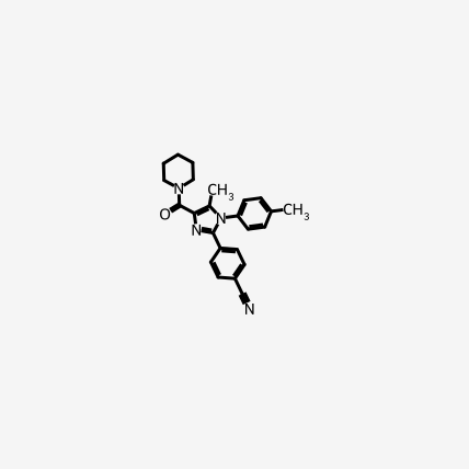 Cc1ccc(-n2c(-c3ccc(C#N)cc3)nc(C(=O)N3CCCCC3)c2C)cc1